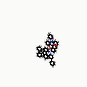 c1ccc(-c2ccc(N(c3cccc4c3-c3ccccc3C4(c3ccccc3)c3ccccc3)c3ccc4cccc5c4c3Oc3cccc(N(c4ccccc4)c4ccccc4)c3-5)cc2)cc1